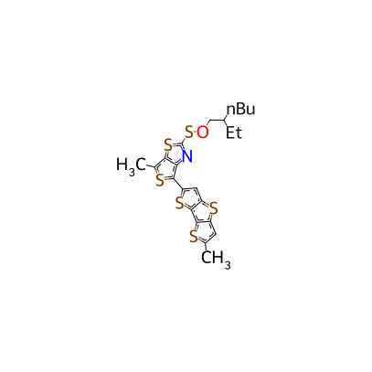 CCCCC(CC)COSc1nc2c(-c3cc4sc5cc(C)sc5c4s3)sc(C)c2s1